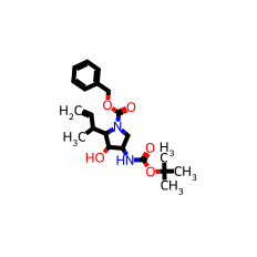 C=CC(C)C1C(O)C(NC(=O)OC(C)(C)C)CN1C(=O)OCc1ccccc1